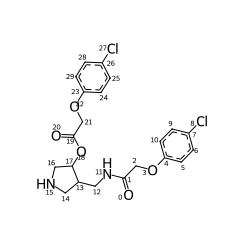 O=C(COc1ccc(Cl)cc1)NCC1CNCC1OC(=O)COc1ccc(Cl)cc1